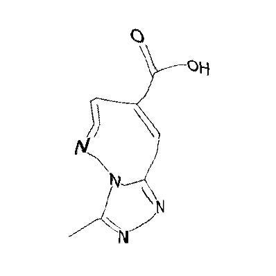 Cc1nnc2cc(C(=O)O)cnn12